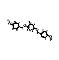 COc1ccc(COC(=O)CC(C)C(=O)OCc2ccc(OC)cc2)cc1